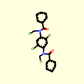 O=C(c1ccccc1)N(CCl)c1cc(Cl)c(N(CCl)C(=O)c2ccccc2)cc1Cl